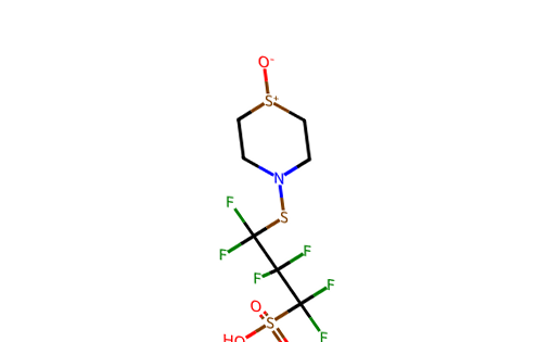 O=S(=O)(O)C(F)(F)C(F)(F)C(F)(F)SN1CC[S+]([O-])CC1